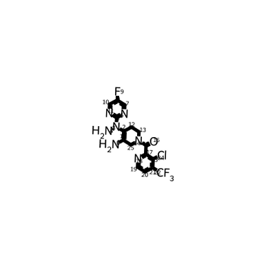 NC1=C(N(N)c2ncc(F)cn2)CCN(C(=O)c2nccc(C(F)(F)F)c2Cl)C1